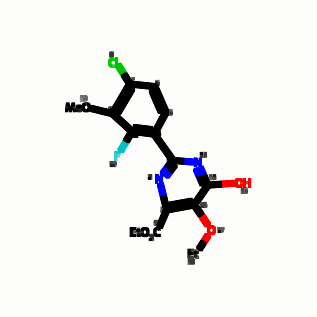 CCOC(=O)c1nc(-c2ccc(Cl)c(OC)c2F)nc(O)c1OCC